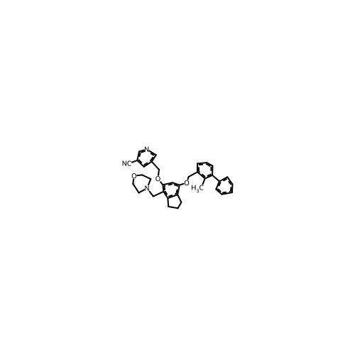 Cc1c(COc2cc(OCc3cncc(C#N)c3)c(CN3CCOCC3)c3c2CCC3)cccc1-c1ccccc1